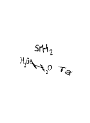 O.[BeH2].[SrH2].[Ta]